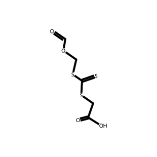 O=COCSC(=S)SCC(=O)O